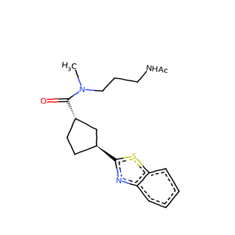 CC(=O)NCCCN(C)C(=O)[C@H]1CC[C@H](c2nc3ccccc3s2)C1